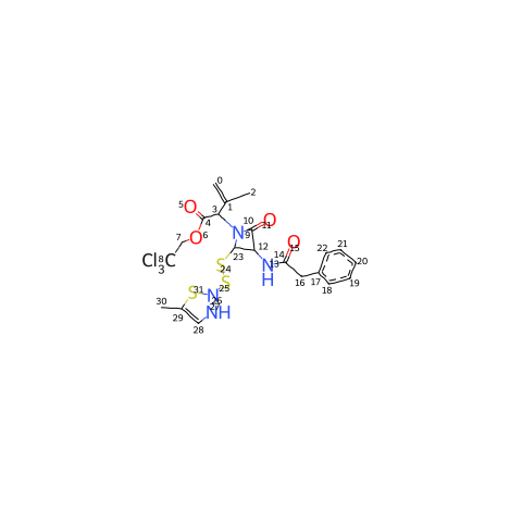 C=C(C)C(C(=O)OCC(Cl)(Cl)Cl)N1C(=O)C(NC(=O)Cc2ccccc2)C1SSN1NC=C(C)S1